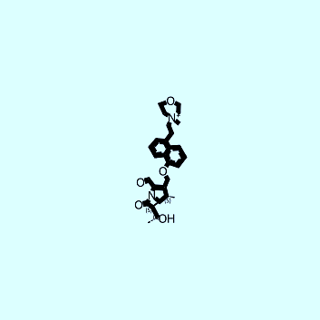 C[C@H]1C(COc2cccc3c(CC[N+]4(C)CCOCC4)cccc23)=C(C=O)N2C(=O)[C@H]([C@@H](C)O)C12